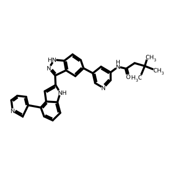 CC(C)(C)CC(=O)Nc1cncc(-c2ccc3[nH]nc(-c4cc5c(-c6cccnc6)cccc5[nH]4)c3c2)c1